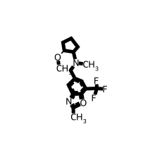 CO[C@@H]1CCCC1N(C)Cc1cc(C(F)(F)F)c2oc(C)nc2c1